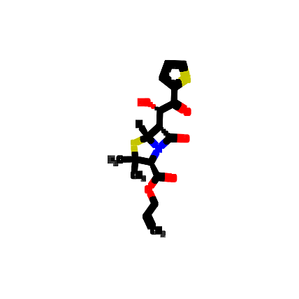 C=CCOC(=O)[C@@H]1N2C(=O)[C@@H]([C@H](O)C(=O)c3cccs3)[C@H]2SC1(C)C